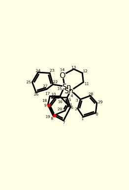 c1cc[c]([Sn]2([c]3ccccc3)[CH2]CC[O][Sn]2([c]2ccccc2)[c]2ccccc2)cc1